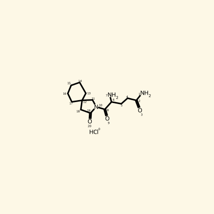 Cl.NC(=O)CCC(N)C(=O)N1CC2(CCCCC2)CC1=O